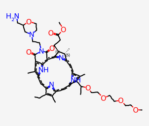 CCC1=C(C)c2cc3[nH]c(cc4nc(c5c6[nH]c(cc1n2)c(C)c6C(=O)N(CCN1CCOC(CN)C1)C5=O)[C@@H](CCC(=O)OC)[C@@H]4C)c(C)c3C(C)OCCOCCOCCOC